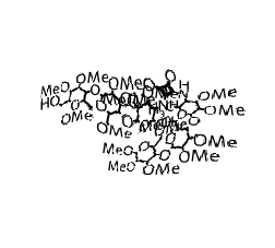 COCC1OC(CO)C(OC)C(OC)C1OC1OC(COC)C(OC2OC(C)C(Nc3c(NC4C(C)OC(OC5C(COC)OC(OC6C(COC)OC(OC)C(OC)C6OC)C(OC)C5OC)C(OC)C4OC)c(=O)c3=O)C(OC)C2OC)C(OC)C1OC